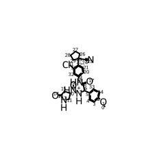 COc1ccc(C(N[NH+]([O-])C2CNC(=O)C2)C(=O)Nc2ccc(C3(C#N)CCCC3)c(Cl)c2)cc1